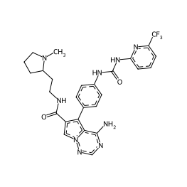 CN1CCCC1CCNC(=O)c1cn2ncnc(N)c2c1-c1ccc(NC(=O)Nc2cccc(C(F)(F)F)n2)cc1